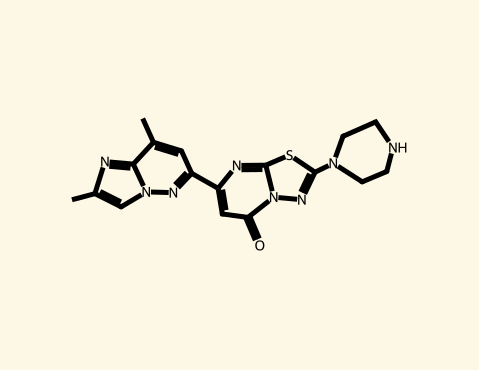 Cc1cn2nc(-c3cc(=O)n4nc(N5CCNCC5)sc4n3)cc(C)c2n1